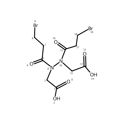 O=C(O)CN(C(=O)CCBr)N(CC(=O)O)C(=O)CCBr